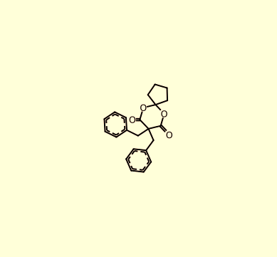 O=C1OC2(CCCC2)OC(=O)C1(Cc1ccccc1)Cc1ccccc1